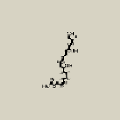 CC/C=C\CC(O)/C=C/C=C/C=C\[C@@H](O)C/C=C\C/C=C\CCC(=O)O